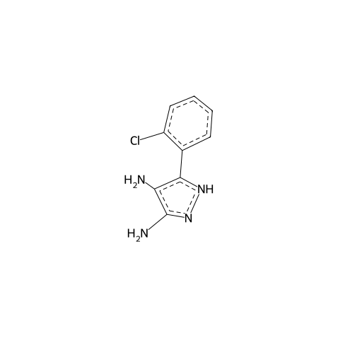 Nc1n[nH]c(-c2ccccc2Cl)c1N